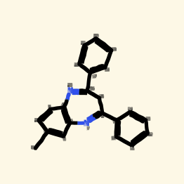 Cc1ccc2c(c1)N=C(c1ccccc1)CC(c1ccccc1)=N2